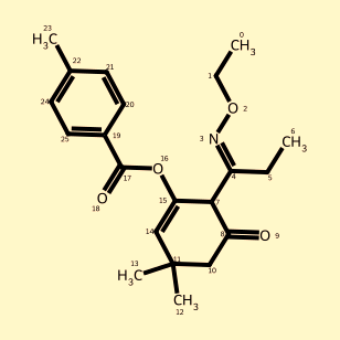 CCON=C(CC)C1C(=O)CC(C)(C)C=C1OC(=O)c1ccc(C)cc1